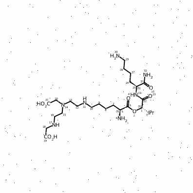 CC(C)[C@H](OC(=O)[C@@H](N)CCCCNCCN(CCNCC(=O)O)CC(=O)O)C(=O)N[C@@H](CCCCN)C(N)=O